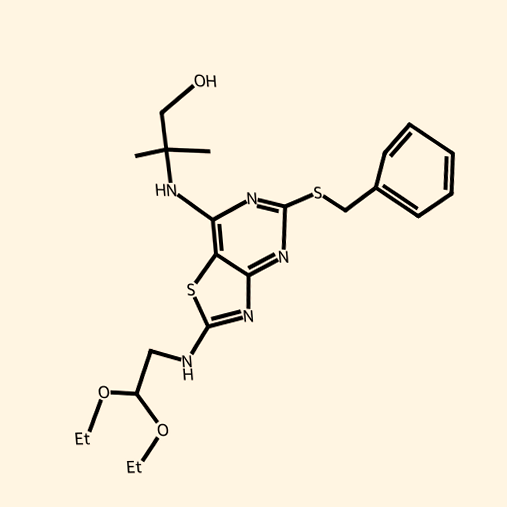 CCOC(CNc1nc2nc(SCc3ccccc3)nc(NC(C)(C)CO)c2s1)OCC